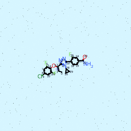 C/C=C(/Oc1c(F)cc(Cl)cc1F)c1nnc(-c2ccc(C(N)=O)cc2F)n1C1CC1